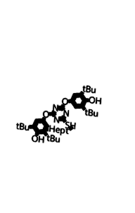 CC(C)(C)c1cc(Oc2nc(S)nc(Oc3cc(C(C)(C)C)c(O)c(C(C)(C)C)c3)n2)cc(C(C)(C)C)c1O.CCCCCCCC